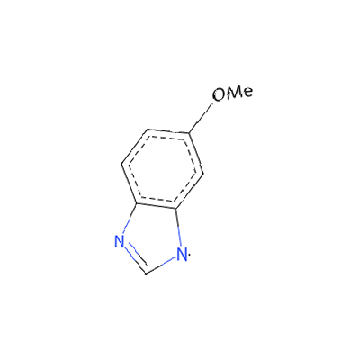 COc1ccc2c(c1)[N]C=N2